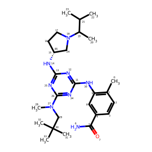 Cc1ccc(C(N)=O)cc1Nc1nc(N[C@@H]2CCN(C(C)C(C)C)C2)nc(N(C)CC(C)(C)C)n1